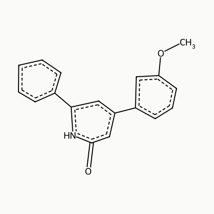 COc1cccc(-c2cc(-c3ccccc3)[nH]c(=O)c2)c1